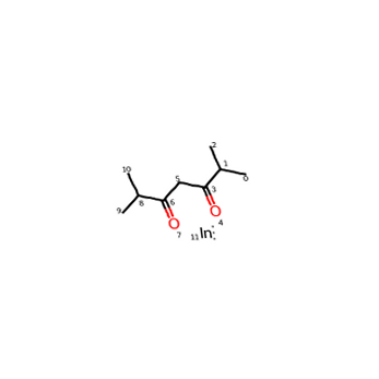 CC(C)C(=O)CC(=O)C(C)C.[In]